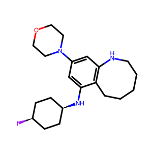 I[C@H]1CC[C@@H](Nc2cc(N3CCOCC3)cc3c2CCCCCN3)CC1